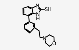 Sc1nc2cccc(-c3cccc(CCN4CCOCC4)c3)c2[nH]1